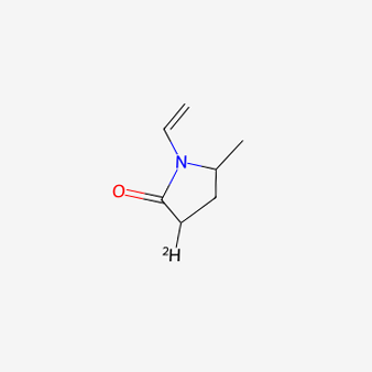 [2H]C1CC(C)N(C=C)C1=O